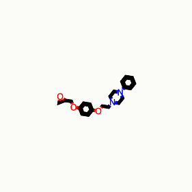 c1ccc(N2CCN(CCOc3ccc(OCC4CO4)cc3)CC2)cc1